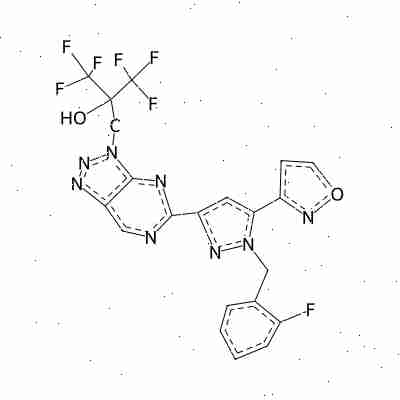 OC(Cn1nnc2cnc(-c3cc(-c4ccon4)n(Cc4ccccc4F)n3)nc21)(C(F)(F)F)C(F)(F)F